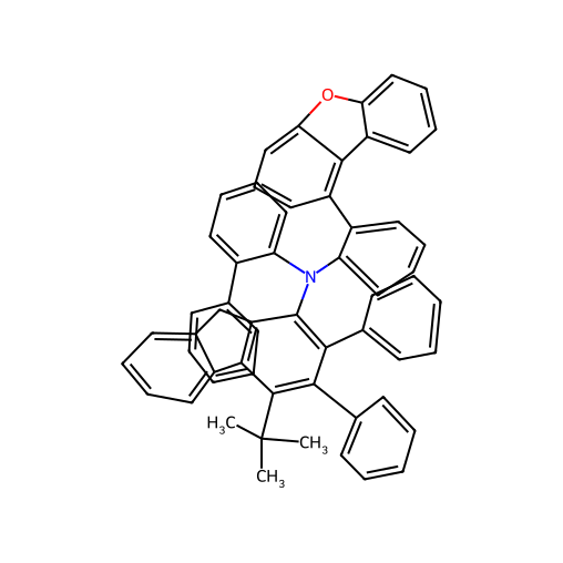 CC(C)(C)c1c2c(c(N(c3ccccc3-c3ccccc3)c3ccccc3-c3cccc4oc5ccccc5c34)c(-c3ccccc3)c1-c1ccccc1)Cc1ccccc1-2